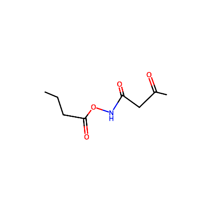 CCCC(=O)ONC(=O)CC(C)=O